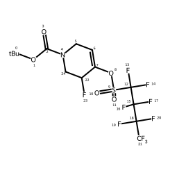 CC(C)(C)OC(=O)N1CC=C(OS(=O)(=O)C(F)(F)C(F)(F)C(F)(F)C(F)(F)F)C(F)C1